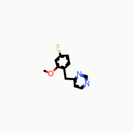 COc1cc(F)ccc1Cc1ccncn1